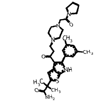 Cc1cc(C)cc(-c2[nH]c3sc(C(C)(C)C(N)=O)cc3c2C(=O)CCN2CCN(CC(=O)N3CCCC3)CC2)c1